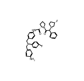 Nc1ccc(CN(Cc2ccc(NC(=O)[C@@H]3CCCN3C(=O)C(c3ccccc3)N3CC[C@H](F)C3)cc2)c2ccc(F)cc2)cc1